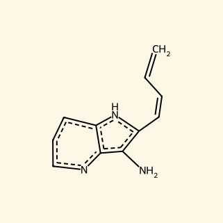 C=C/C=C\c1[nH]c2cccnc2c1N